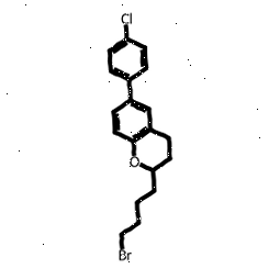 Clc1ccc(-c2ccc3c(c2)CCC(CCCCBr)O3)cc1